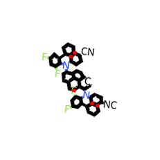 [C-]#[N+]c1ccc(N(c2c(F)cc(F)cc2-c2ccccc2)c2ccc3ccc4c(N(c5ccc(C#N)cc5)c5c(F)cc(F)cc5-c5ccccc5)ccc5ccc2c3c54)cc1